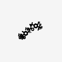 Cc1cc([C@@H](C)NC(=O)C2CC2(C)c2ccc(C(F)(F)F)c(F)c2)ccc1NS(C)(=O)=O